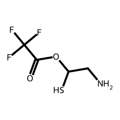 NCC(S)OC(=O)C(F)(F)F